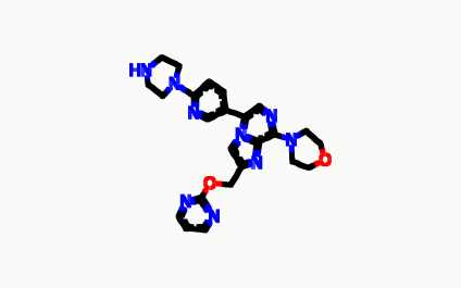 c1cnc(OCc2cn3c(-c4ccc(N5CCNCC5)nc4)cnc(N4CCOCC4)c3n2)nc1